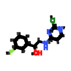 OC(CNc1ccnc(Cl)n1)c1cccc(F)c1